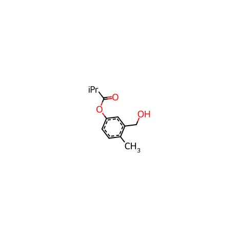 Cc1ccc(OC(=O)C(C)C)cc1CO